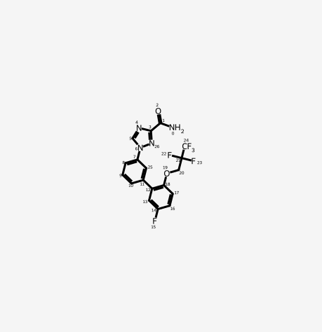 NC(=O)c1ncn(-c2cccc(-c3cc(F)ccc3OCC(F)(F)C(F)(F)F)c2)n1